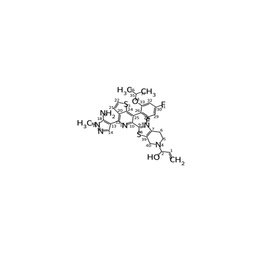 C=CC(O)N1CCc2nc(-c3nc(-c4cnn(C)c4N)c4ccsc4c3-c3c(F)cc(F)cc3OC(C)C)sc2C1